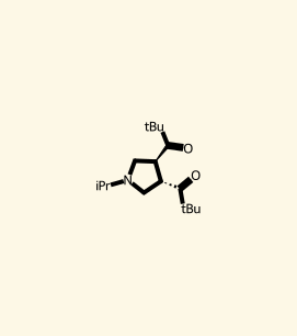 CC(C)N1C[C@@H](C(=O)C(C)(C)C)[C@H](C(=O)C(C)(C)C)C1